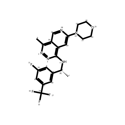 Cc1nnc(N[C@H](C)c2cc(F)cc(C(F)(F)F)c2)c2cc(N3CCOCC3)ncc12